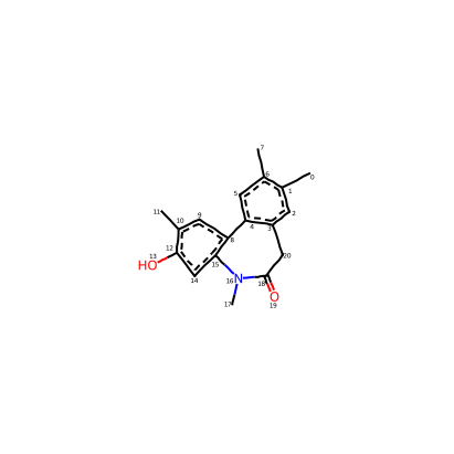 Cc1cc2c(cc1C)-c1cc(C)c(O)cc1N(C)C(=O)C2